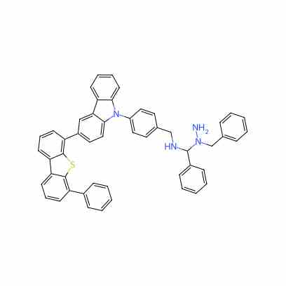 NN(Cc1ccccc1)C(NCc1ccc(-n2c3ccccc3c3cc(-c4cccc5c4sc4c(-c6ccccc6)cccc45)ccc32)cc1)c1ccccc1